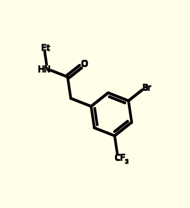 CCNC(=O)Cc1cc(Br)cc(C(F)(F)F)c1